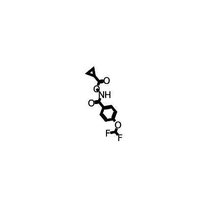 O=C(NOC(=O)C1CC1)c1ccc(OC(F)F)cc1